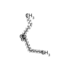 CCCCCC/C=C\CCCCCCCC(=O)OC(=O)CCCCCCC/C=C\CCCCCCCC